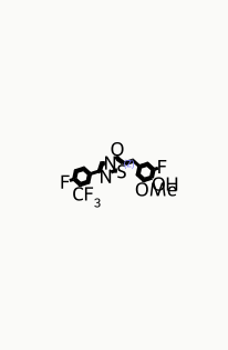 COc1cc(/C=c2\sc3nc(-c4ccc(F)c(C(F)(F)F)c4)cn3c2=O)cc(F)c1O